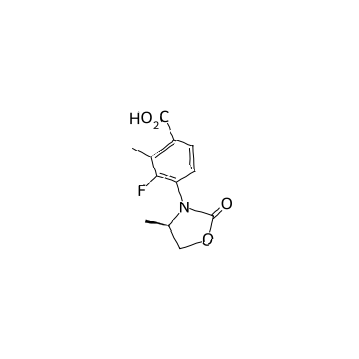 Cc1c(C(=O)O)ccc(N2C(=O)OC[C@H]2C)c1F